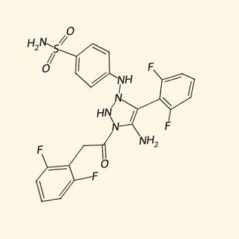 NC1=C(c2c(F)cccc2F)N(Nc2ccc(S(N)(=O)=O)cc2)NN1C(=O)Cc1c(F)cccc1F